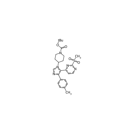 Cc1ccc(-c2ncn(C3CCN(C(=O)OC(C)(C)C)CC3)c2-c2ccnc(S(C)(=O)=O)n2)cc1